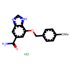 COc1ccc(COc2cc(C(N)=O)cc3nc[nH]c23)cc1.Cl